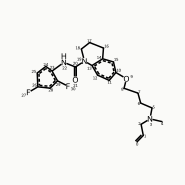 C=CCN(C)CCCCOc1ccc2c(c1)CCCN2C(=O)Nc1ccc(F)cc1F